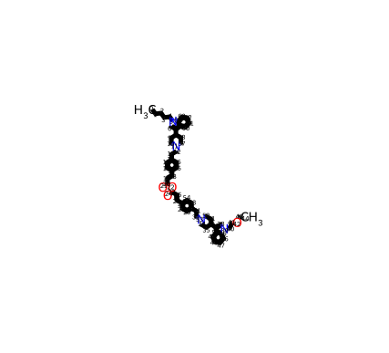 CCCCCn1cc(C2CCN(CCc3ccc(C=CC(=O)OC(=O)C=Cc4ccc(CCN5CCC(c6cn(CCOCC)c7ccccc67)CC5)cc4)cc3)CC2)c2ccccc21